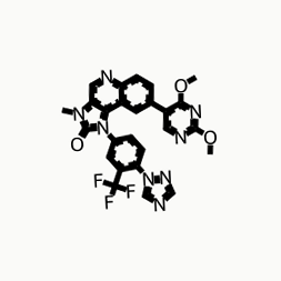 COc1ncc(-c2ccc3ncc4c(c3c2)n(-c2ccc(-n3cncn3)c(C(F)(F)F)c2)c(=O)n4C)c(OC)n1